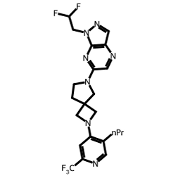 CCCc1cnc(C(F)(F)F)cc1N1CC2(CCN(c3cnc4cnn(CC(F)F)c4n3)C2)C1